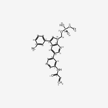 C=CC(=O)Nc1cncc(-c2cnc3c(c2)c(-c2cccc(C#N)c2)cn3COP(=O)(O)OCC)c1